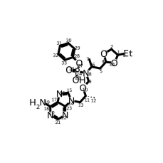 CCC1COC(CC(C)N(CO[C@H](C)Cn2cnc3c(N)ncnc32)P(=O)(O)Oc2ccccc2)O1